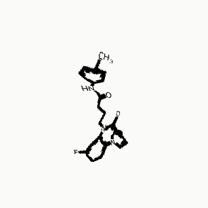 Cc1ccc(NC(=O)CCCn2c(=O)c3cccn3c3ccc(F)cc32)cc1